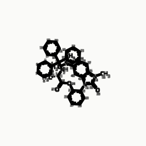 C[C@H](NC(c1ccccc1)(c1ccccc1)c1ccccc1)C(=O)Oc1ccccc1-n1c(=O)n(C)c2ccc(N(C)C)cc21